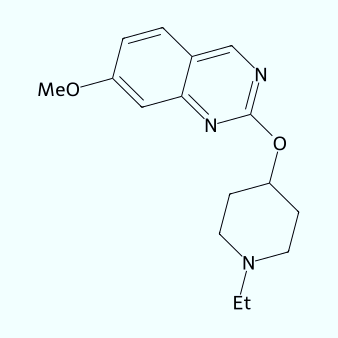 CCN1CCC(Oc2ncc3ccc(OC)cc3n2)CC1